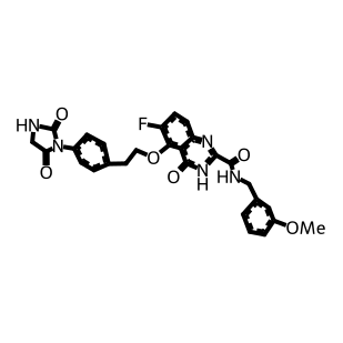 COc1cccc(CNC(=O)c2nc3ccc(F)c(OCCc4ccc(N5C(=O)CNC5=O)cc4)c3c(=O)[nH]2)c1